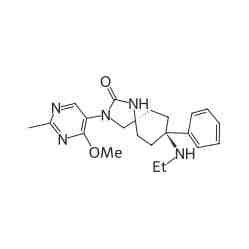 CCN[C@]1(c2ccccc2)CC[C@]2(CC1)CN(c1cnc(C)nc1OC)C(=O)N2